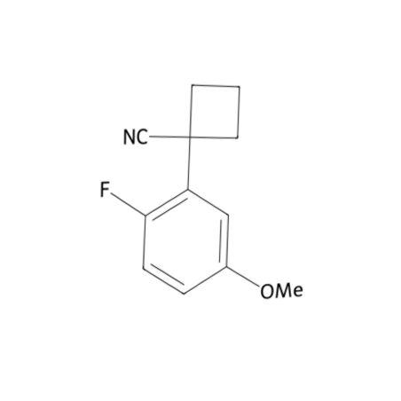 COc1ccc(F)c(C2(C#N)CCC2)c1